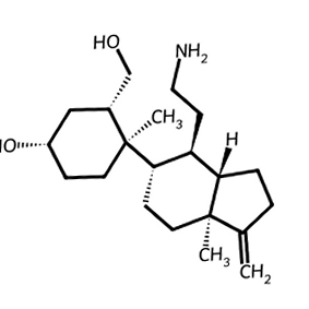 C=C1CC[C@H]2[C@H](CCN)[C@@H]([C@@]3(C)CC[C@H](O)C[C@@H]3CO)CC[C@]12C